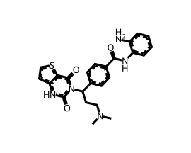 CN(C)CCC(c1ccc(C(=O)Nc2ccccc2N)cc1)n1c(=O)[nH]c2ccsc2c1=O